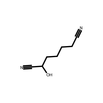 N#CCCCCC(O)C#N